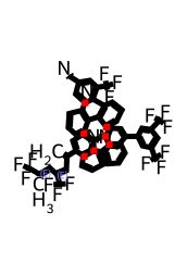 C=C(/C=C(\C=C(/C)C(F)(F)F)C(F)(F)F)c1ccc2c(c1)c1ccccc1n2-c1cccc(-c2ccc(C#N)cc2C(F)(F)F)c1-c1c(C#N)cccc1-n1c2ccccc2c2cc(-c3cc(C(F)(F)F)cc(C(F)(F)F)c3)ccc21